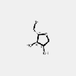 O[C@@H]1[C@H](O)CO[C@H]1CBr